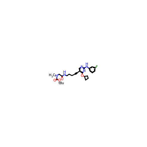 CN(CC(=O)NCCCC#Cc1cnc(Nc2cccc(F)c2)nc1OC1CCC1)C(=O)OC(C)(C)C